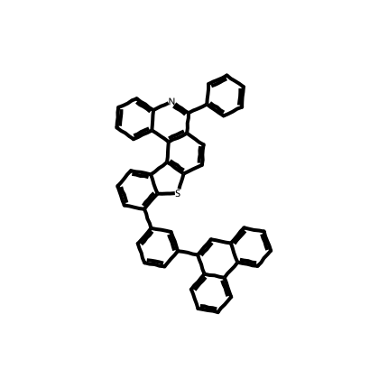 c1ccc(-c2nc3ccccc3c3c2ccc2sc4c(-c5cccc(-c6cc7ccccc7c7ccccc67)c5)cccc4c23)cc1